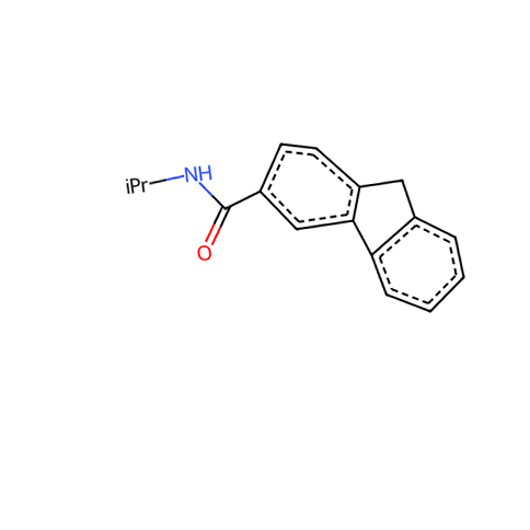 CC(C)NC(=O)c1ccc2c(c1)-c1ccccc1C2